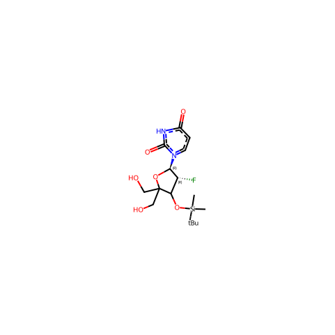 CC(C)(C)[Si](C)(C)OC1[C@@H](F)[C@H](n2ccc(=O)[nH]c2=O)OC1(CO)CO